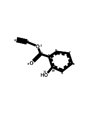 C#COC(=O)c1ccccc1O